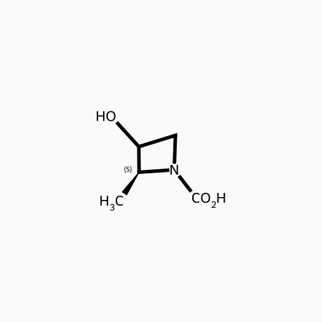 C[C@H]1C(O)CN1C(=O)O